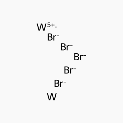 [Br-].[Br-].[Br-].[Br-].[Br-].[W+5].[W]